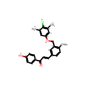 COc1ccc(/C=C/C(=O)c2ccc(O)cc2)cc1COc1cc(C)c(Cl)c(C)c1